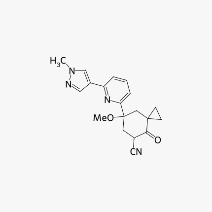 COC1(c2cccc(-c3cnn(C)c3)n2)CC(C#N)C(=O)C2(CC2)C1